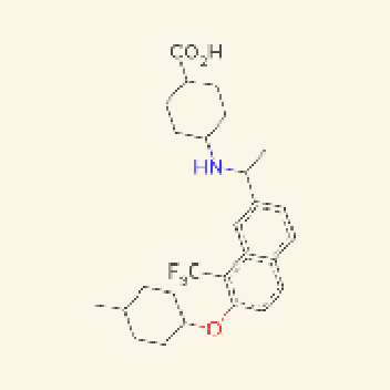 CC1CCC(Oc2ccc3ccc(C(C)NC4CCC(C(=O)O)CC4)cc3c2C(F)(F)F)CC1